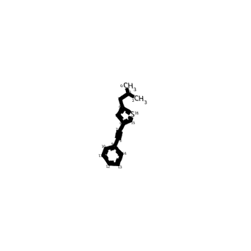 CC(C)Cc1cc(C#Cc2ccccc2)cs1